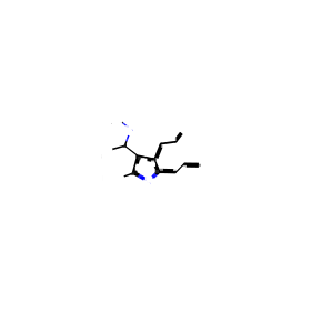 C=C/C=c1/c(C(C)NC)c(C)[nH]/c1=C/C=C